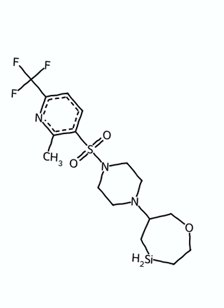 Cc1nc(C(F)(F)F)ccc1S(=O)(=O)N1CCN(C2COCC[SiH2]C2)CC1